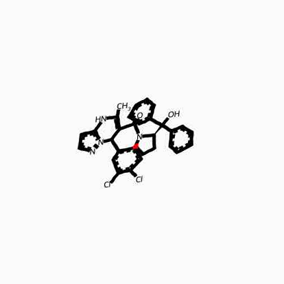 CC1=C(C(=O)N2CCC[C@@H]2C(O)(c2ccccc2)c2ccccc2)C(c2ccc(Cl)c(Cl)c2)n2nccc2N1